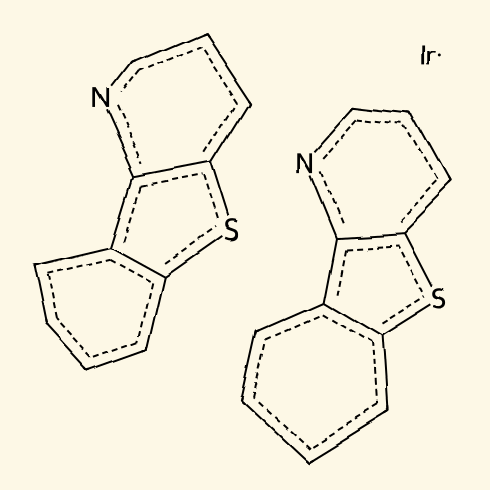 [Ir].c1ccc2c(c1)sc1cccnc12.c1ccc2c(c1)sc1cccnc12